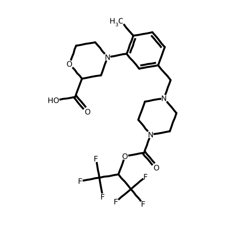 Cc1ccc(CN2CCN(C(=O)OC(C(F)(F)F)C(F)(F)F)CC2)cc1N1CCOC(C(=O)O)C1